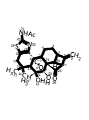 C=C1C2CCC3[C@@]45CO[C@](O)([C@@H](O)C4C(C)(C)Cc4sc(NC(C)=O)nc45)[C@]34C(=O)C1[C@H]24